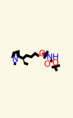 CC[C@H](CCCCOC(C)(C)NC(=O)OC(C)(C)C)c1cccn1C